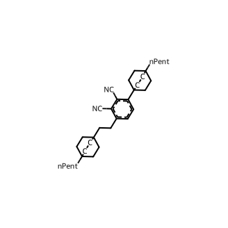 CCCCCC12CCC(CCc3ccc(C45CCC(CCCCC)(CC4)CC5)c(C#N)c3C#N)(CC1)CC2